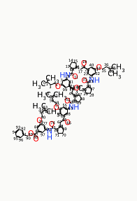 CC(C)CCOc1cc(NC(=O)[C@H]2CCC[C@@H]2CC(=O)c2cc(NC(=O)[C@H]3CCC[C@@H]3C)cc(OCCC(C)C)c2)cc(C(=O)C[C@H]2CCC[C@@H]2C(=O)Nc2cc(OCCC(C)C)cc(C(=O)C[C@H]3CCC[C@@H]3C(=O)Nc3cc(OCCC(C)C)cc(C(=O)OCc4ccccc4)c3)c2)c1